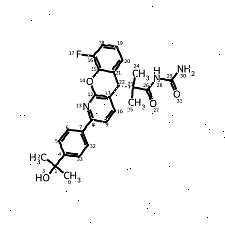 CC(C)(O)c1ccc(-c2ccc3c(n2)Oc2c(F)cccc2[C@@H]3C(C)(C)C(=O)NC(N)=O)cc1